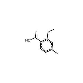 COc1cc(C)ccc1C(C)O